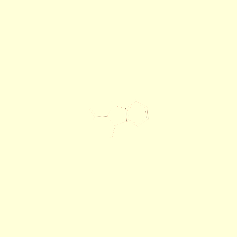 CN1c2ccccc2OC1C=O